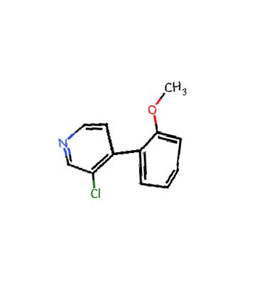 COc1ccccc1-c1ccncc1Cl